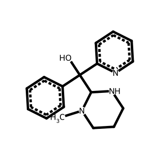 CN1CCCNC1C(O)(c1ccccc1)c1ccccn1